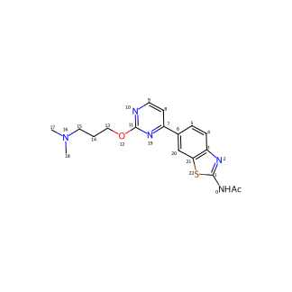 CC(=O)Nc1nc2ccc(-c3ccnc(OCCCN(C)C)n3)cc2s1